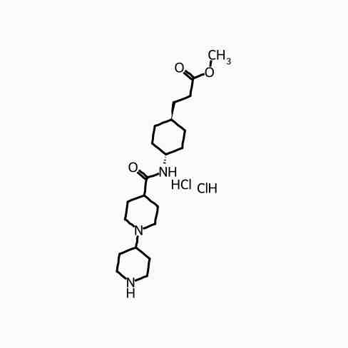 COC(=O)CC[C@H]1CC[C@H](NC(=O)C2CCN(C3CCNCC3)CC2)CC1.Cl.Cl